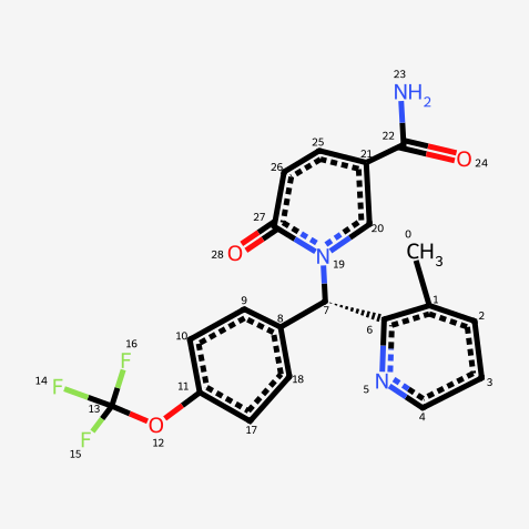 Cc1cccnc1[C@H](c1ccc(OC(F)(F)F)cc1)n1cc(C(N)=O)ccc1=O